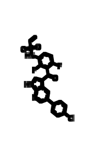 C=CS(=O)(=O)Nc1ccc(F)c(C(=O)c2c[nH]c3ncc(-c4ccc(Cl)cc4)cc23)c1F